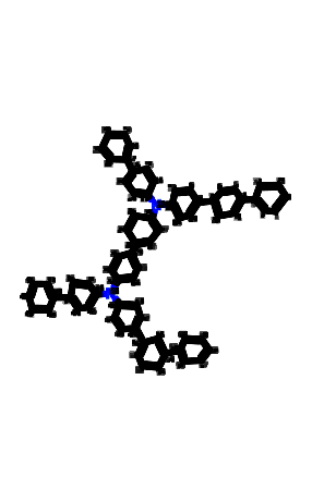 c1ccc(-c2ccc(-c3ccc(N(c4ccc(-c5ccccc5)cc4)c4ccc(-c5ccc(N(c6ccc(-c7ccccc7)cc6)c6ccc(-c7cccc(-c8ccccc8)c7)cc6)cc5)cc4)cc3)cc2)cc1